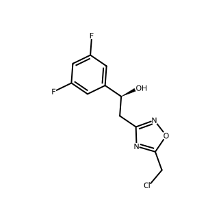 O[C@@H](Cc1noc(CCl)n1)c1cc(F)cc(F)c1